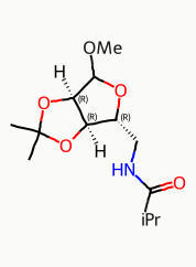 COC1O[C@H](CNC(=O)C(C)C)[C@H]2OC(C)(C)O[C@@H]12